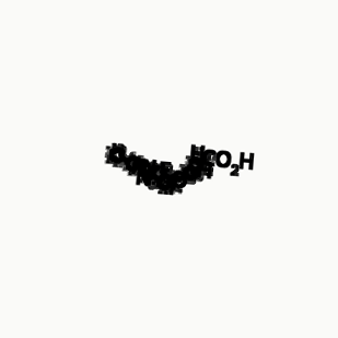 Cc1nc(N2CCC(c3ccccc3)CC2)nc(C)c1-c1ccc(F)c(COc2ccc3c(c2)C[C@H]2[C@H](C(=O)O)[C@@H]32)c1F